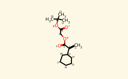 C=C(C(=O)OCC(=O)OC(C)(C)C)C1CCCCC1